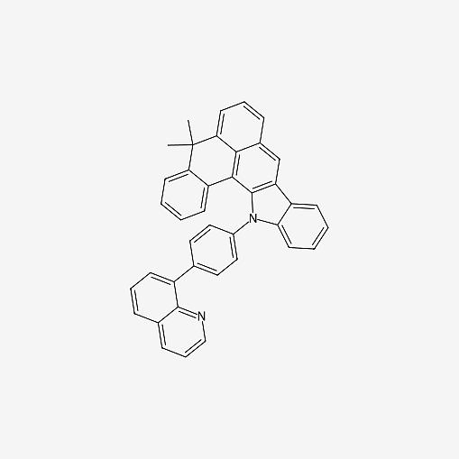 CC1(C)c2ccccc2-c2c3c1cccc3cc1c3ccccc3n(-c3ccc(-c4cccc5cccnc45)cc3)c21